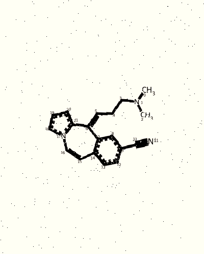 CN(C)CCC=C1c2cc(C#N)ccc2C=Cn2cccc21